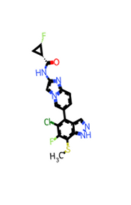 CSc1c(F)c(Cl)c(-c2ccc3nc(NC(=O)[C@@H]4C[C@@H]4F)cn3c2)c2cn[nH]c12